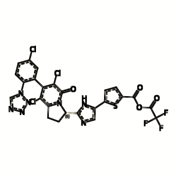 O=C(OC(=O)C(F)(F)F)c1ccc(-c2cnc([C@@H]3CCc4c(Cl)c(-c5cc(Cl)ccc5-n5cnnn5)c(Cl)c(=O)n43)[nH]2)s1